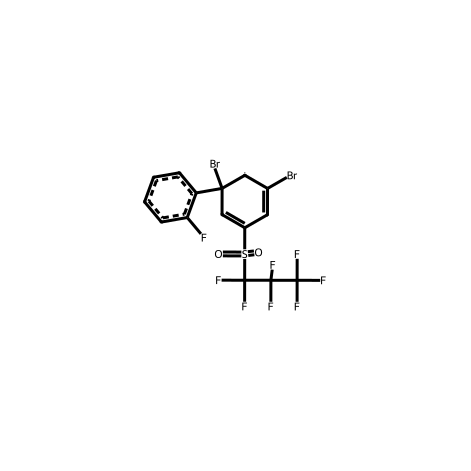 O=S(=O)(C1=CC(Br)(c2ccccc2F)[CH]C(Br)=C1)C(F)(F)C(F)(F)C(F)(F)F